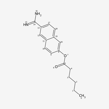 CCCCCC(=O)Oc1ccc2cc(C(=N)N)ccc2c1